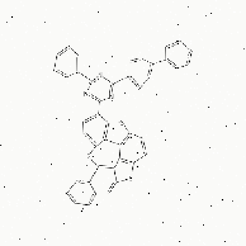 c1ccc(-c2ccc(-c3nc(-c4ccccc4)nc(-c4ccc5sc6c7ccccc7cc7sc8ccc9sc4c5c9c8c76)n3)cc2)cc1